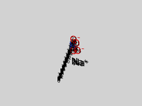 CCCCCCCCCCCCCCCCCCN(CC(=O)[O-])CC(=O)[O-].[Na+].[Na+]